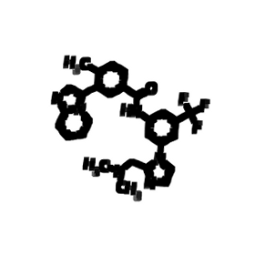 Cc1ccc(C(=O)Nc2cc(-n3ccnc3CN(C)C)cc(C(F)(F)F)c2)cc1-c1cnc2ccccn12